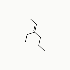 C/C=C(\CC)CCC